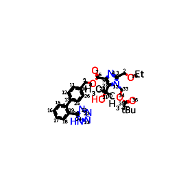 CCOCc1nc(C(=O)OCc2ccc(-c3ccccc3-c3nnn[nH]3)cc2)c(C(C)(C)O)n1COC(=O)C(C)(C)C